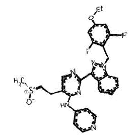 CCOc1cc(F)c(Cn2nc(-c3ncc(CC[S@@+](C)[O-])c(Nc4ccncc4)n3)c3ccccc32)c(F)c1